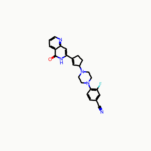 N#Cc1ccc(N2CCN(C3C=C(c4cc5ncccc5c(=O)[nH]4)CC3)CC2)c(F)c1